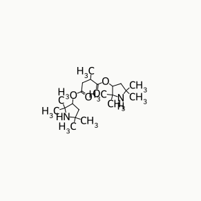 CC(CC(=O)OC1CC(C)(C)NC1(C)C)C(=O)OC1CC(C)(C)NC1(C)C